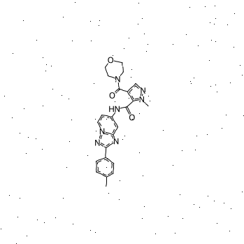 Cc1ccc(-c2nc3cc(NC(=O)c4c(C(=O)N5CCOCC5)cnn4C)ccn3n2)cc1